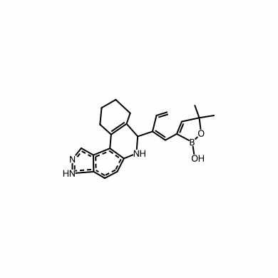 C=C/C(=C\C1=CC(C)(C)OB1O)C1Nc2ccc3[nH]ncc3c2C2=C1CCCC2